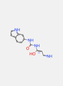 N=C/C=C(\O)NC(=O)Nc1ccc2cc[nH]c2c1